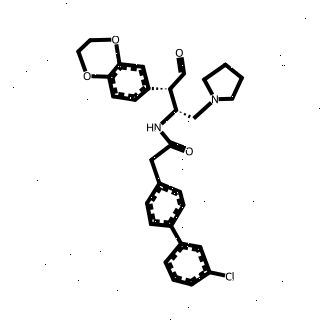 O=C[C@@H](c1ccc2c(c1)OCCO2)[C@H](CN1CCCC1)NC(=O)Cc1ccc(-c2cccc(Cl)c2)cc1